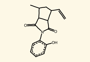 C=CC1CC(C)C2C(=O)N(c3ccccc3O)C(=O)C12